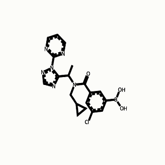 CC(c1ncnn1-c1ncccn1)N(CC1CC1)C(=O)c1cc(Cl)cc(B(O)O)c1